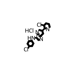 Cl.Clc1ccc(Nc2cnc3cc(-c4ncccc4Cl)cnn23)cc1